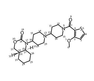 COc1ccsc1C(=O)N1CCC(N2CCC(N3C(=O)OC[C@H]4CCCC[C@@H]43)CC2)CC1